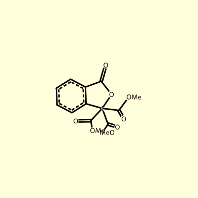 COC(=O)I1(C(=O)OC)(C(=O)OC)OC(=O)c2ccccc21